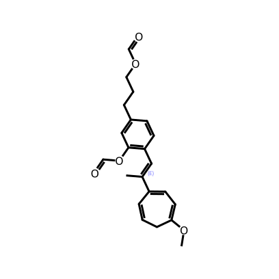 COC1=CC=C(/C(C)=C/c2ccc(CCCOC=O)cc2OC=O)C=CC1